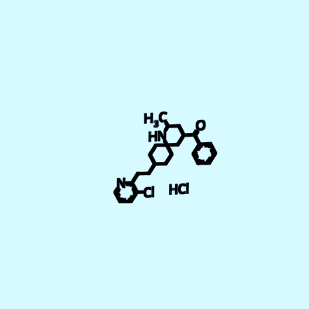 CC1CC(C(=O)c2ccccc2)CC2(CCC(CCc3ncccc3Cl)CC2)N1.Cl